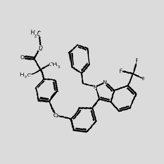 COC(=O)C(C)(C)c1ccc(Oc2cccc(-c3c4cccc(C(F)(F)F)c4nn3Cc3ccccc3)c2)cc1